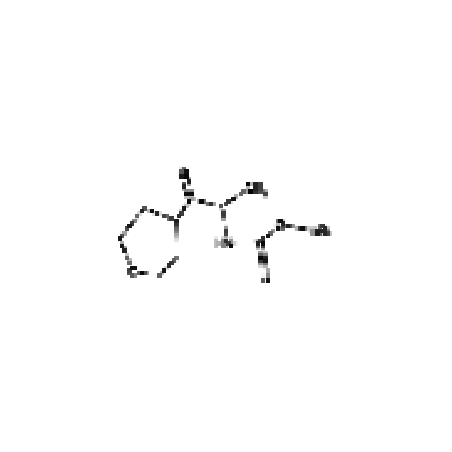 CCCCOC(=O)NC(C)C(=O)C1CCOCC1